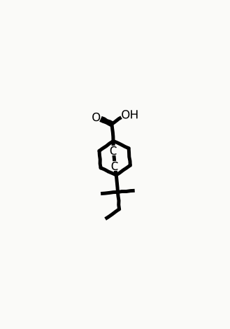 CCC(C)(C)C12CCC(C(=O)O)(CC1)CC2